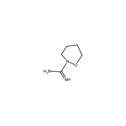 N=C(N)N1CCCCO1